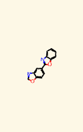 c1ccc2oc(-c3ccc4ocnc4c3)nc2c1